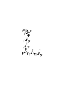 FP(F)F.FP(F)F.FP(F)F.FP(F)F.FP(F)F.F[PH](F)(F)[Mo]